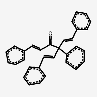 O=C(C=Cc1ccccc1)C(C=Cc1ccccc1)(C=Cc1ccccc1)c1ccccc1